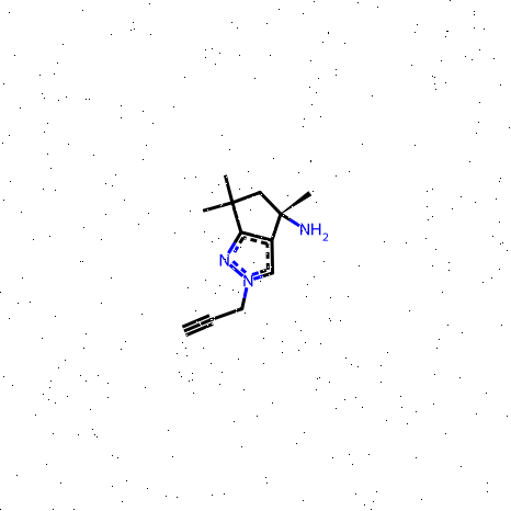 C#CCn1cc2c(n1)C(C)(C)C[C@]2(C)N